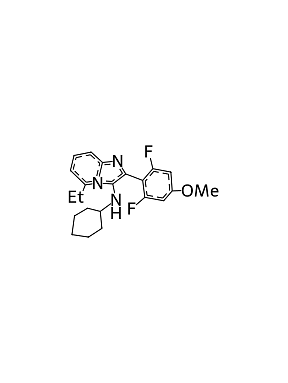 CCc1cccc2nc(-c3c(F)cc(OC)cc3F)c(NC3CCCCC3)n12